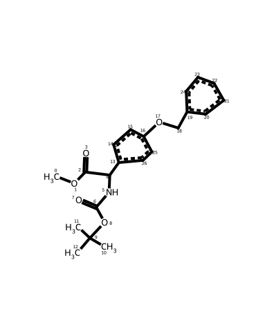 COC(=O)C(NC(=O)OC(C)(C)C)c1ccc(OCc2ccccc2)cc1